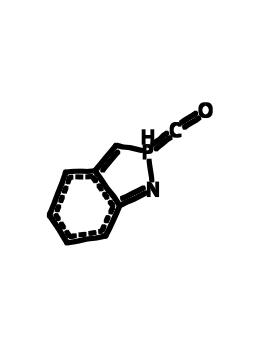 O=C=[PH]1C=c2ccccc2=N1